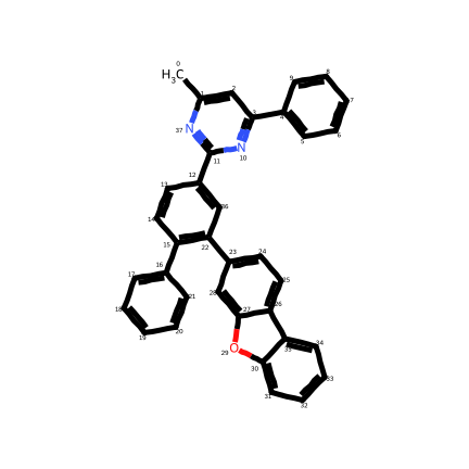 Cc1cc(-c2ccccc2)nc(-c2ccc(-c3ccccc3)c(-c3ccc4c(c3)oc3ccccc34)c2)n1